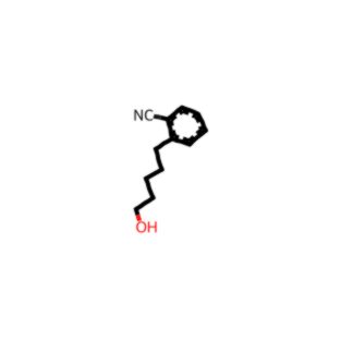 N#Cc1ccccc1CCCCCO